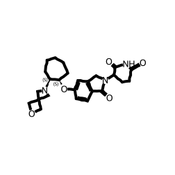 O=C1CCC(N2Cc3cc(O[C@H]4CCCCC[C@@H]4N4CC5(COC5)C4)ccc3C2=O)C(=O)N1